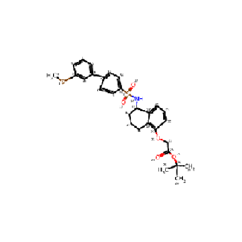 CSc1cccc(-c2ccc(S(=O)(=O)N[C@@H]3CCCc4c(OCC(=O)OC(C)(C)C)cccc43)cc2)c1